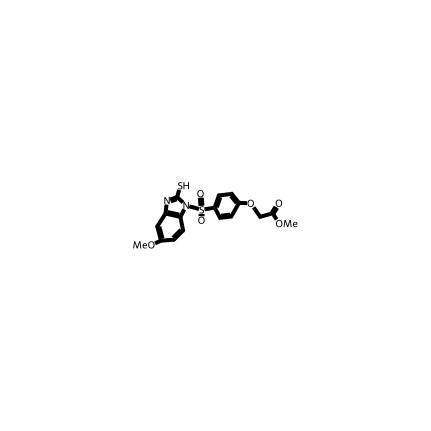 COC(=O)COc1ccc(S(=O)(=O)n2c(S)nc3cc(OC)ccc32)cc1